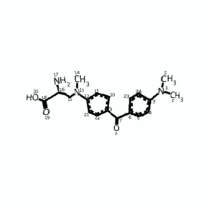 CN(C)c1ccc(C(=O)c2ccc(N(C)C[C@H](N)C(=O)O)cc2)cc1